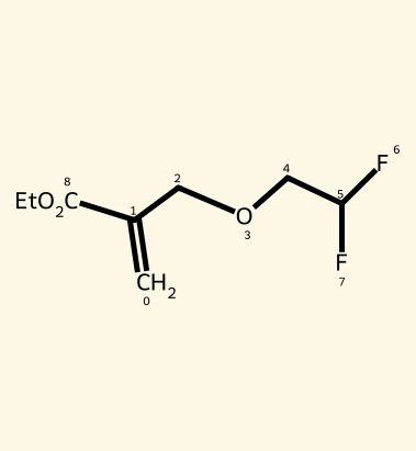 C=C(COCC(F)F)C(=O)OCC